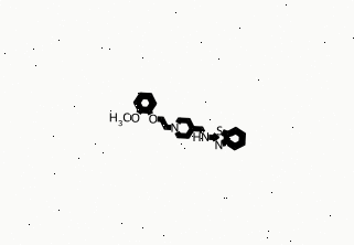 COc1ccccc1OCCN1CCC(CNc2nc3ccccc3s2)CC1